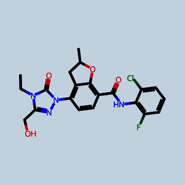 CCn1c(CO)nn(-c2ccc(C(=O)Nc3c(F)cccc3Cl)c3c2CC(C)O3)c1=O